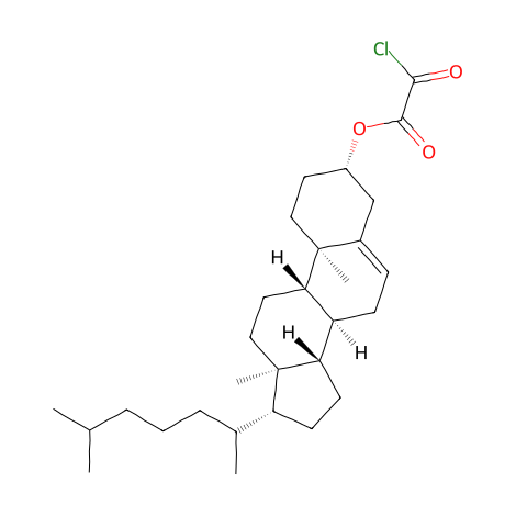 CC(C)CCCC(C)[C@H]1CC[C@H]2[C@@H]3CC=C4C[C@@H](OC(=O)C(=O)Cl)CC[C@]4(C)[C@H]3CC[C@]12C